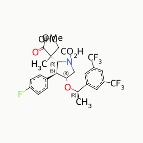 COC(=O)C(C)(CC=O)[C@H]1[C@H](c2ccc(F)cc2)[C@@H](O[C@H](C)c2cc(C(F)(F)F)cc(C(F)(F)F)c2)CN1C(=O)O